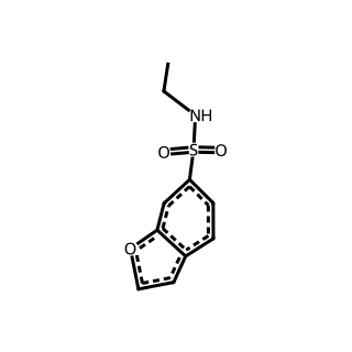 CCNS(=O)(=O)c1ccc2ccoc2c1